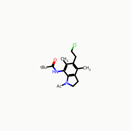 CC(=O)N1CCc2c(C)c(CCCl)c(C)c(NC(=O)C(C)(C)C)c21